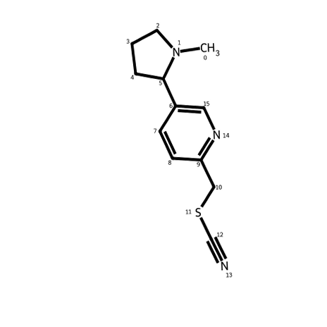 CN1CCCC1c1ccc(CSC#N)nc1